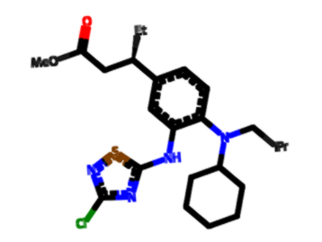 CC[C@H](CC(=O)OC)c1ccc(N(CC(C)C)C2CCCCC2)c(Nc2nc(Cl)ns2)c1